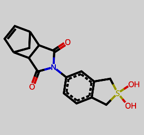 O=C1C2C3C=CC(C3)C2C(=O)N1c1ccc2c(c1)CS(O)(O)C2